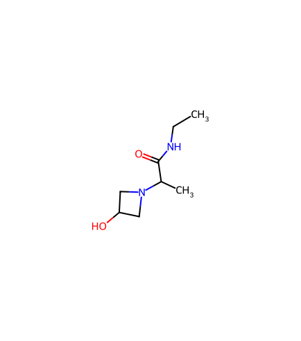 CCNC(=O)C(C)N1CC(O)C1